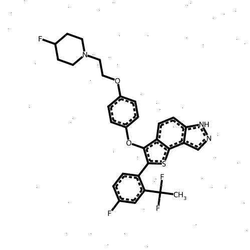 CC(F)(F)c1cc(F)ccc1-c1sc2c(ccc3[nH]ncc32)c1Oc1ccc(OCCN2CCC(F)CC2)cc1